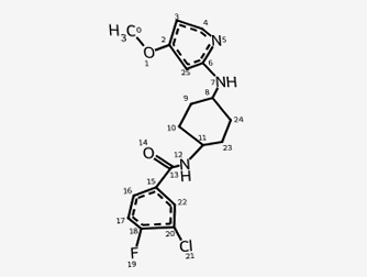 COc1ccnc(NC2CCC(NC(=O)c3ccc(F)c(Cl)c3)CC2)c1